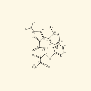 CC(C)n1cc(C(=O)NC(Cc2ccccc2)C(=O)C(N)=O)c(-c2ccccc2F)n1